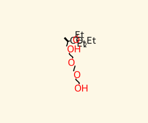 C=C(C)C(=O)OCC.CCOCC.OCCOCCOCCO